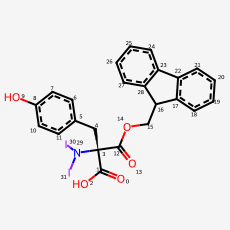 O=C(O)[C@@](Cc1ccc(O)cc1)(C(=O)OCC1c2ccccc2-c2ccccc21)N(I)I